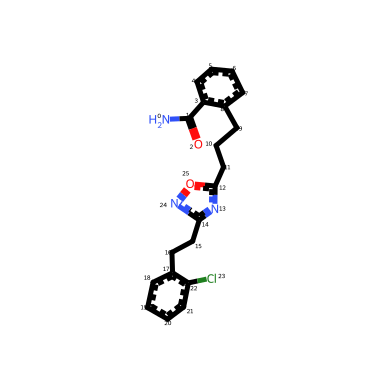 NC(=O)c1ccccc1CC[CH]c1nc(CCc2ccccc2Cl)no1